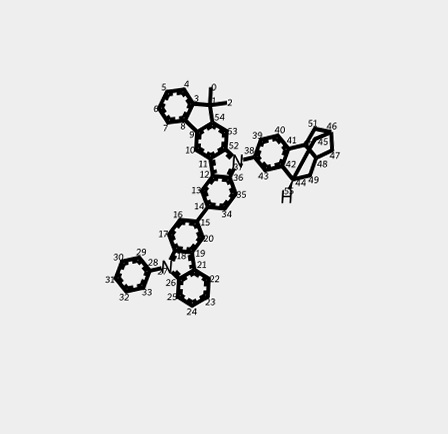 CC1(C)c2ccccc2-c2cc3c4cc(-c5ccc6c(c5)c5ccccc5n6-c5ccccc5)ccc4n(-c4ccc5c(c4)[C@@H]4CC6CC(C4)C5C6)c3cc21